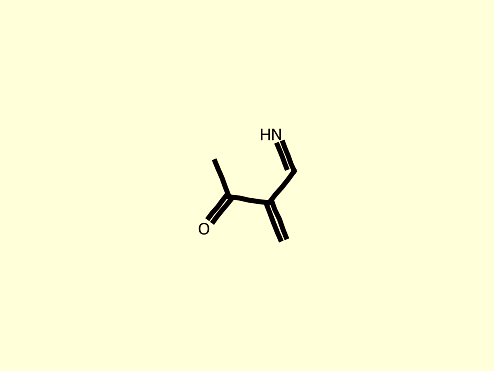 C=C(C=N)C(C)=O